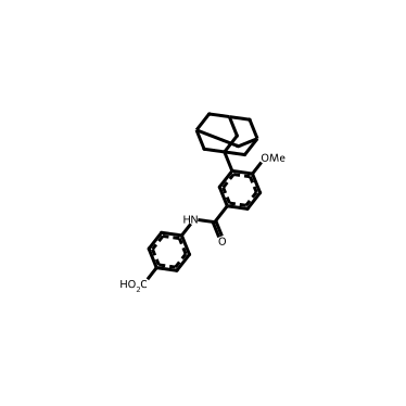 COc1ccc(C(=O)Nc2ccc(C(=O)O)cc2)cc1C12CC3CC(CC(C3)C1)C2